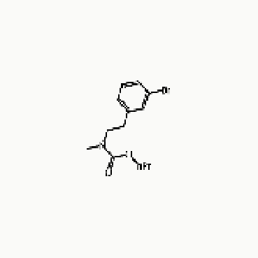 CCCOC(=O)N(C)CCc1cccc(Br)c1